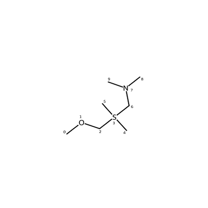 COCS(C)(C)CN(C)C